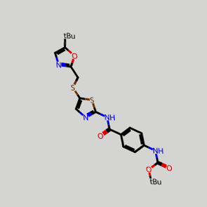 CC(C)(C)OC(=O)Nc1ccc(C(=O)Nc2ncc(SCc3ncc(C(C)(C)C)o3)s2)cc1